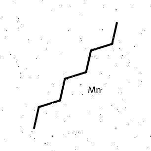 CCCCCCCC.[Mn]